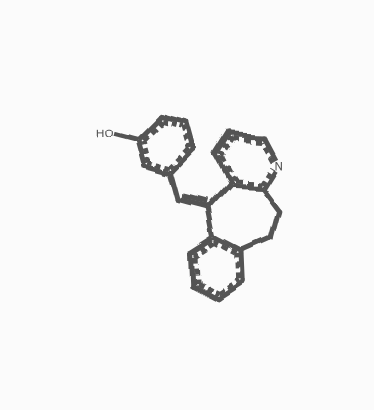 Oc1cccc(C=C2c3ccccc3CCc3ncccc32)c1